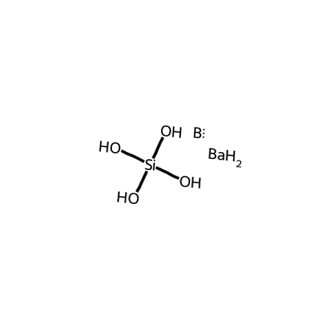 O[Si](O)(O)O.[B].[BaH2]